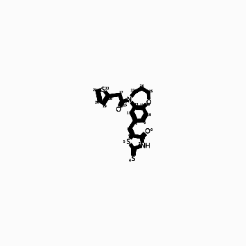 O=C1NC(=S)SC1=Cc1ccc2c(c1)N(C(=O)Cc1cccs1)CCCO2